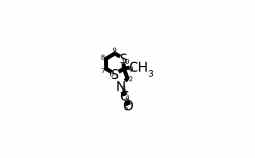 CC1(CN=C=O)SCCCS1